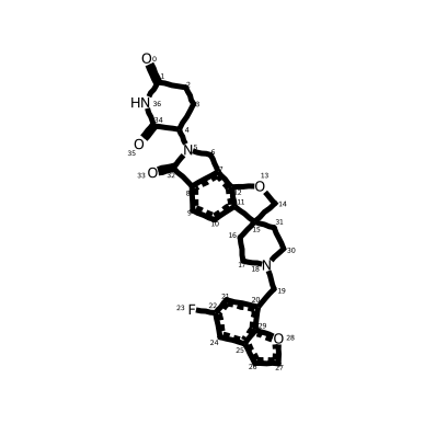 O=C1CCC(N2Cc3c(ccc4c3OCC43CCN(Cc4cc(F)cc5ccoc45)CC3)C2=O)C(=O)N1